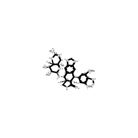 COc1cc([C@@H]2c3cc4c(cc3[C@@H](O[C@@H]3O[C@@H]5CO[C@@H](C)O[C@H]5[C@H](O)[C@H]3O)[C@H]3COC(=O)[C@H]23)OCO4)cc(OC)c1OI